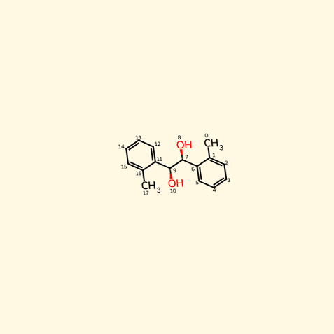 Cc1ccccc1[C@H](O)[C@@H](O)c1ccccc1C